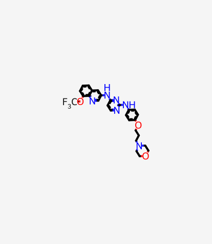 FC(F)(F)Oc1cccc2cc(Nc3ccnc(Nc4ccc(OCCCN5CCOCC5)cc4)n3)cnc12